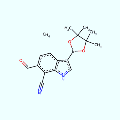 C.CC1(C)OB(c2c[nH]c3c(C#N)c(C=O)ccc23)OC1(C)C